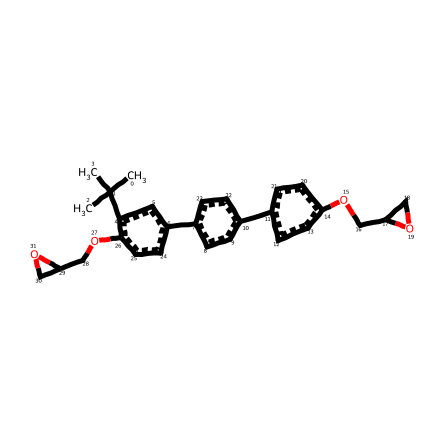 CC(C)(C)c1cc(-c2ccc(-c3ccc(OCC4CO4)cc3)cc2)ccc1OCC1CO1